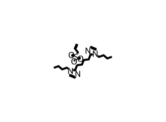 C=CCS(=O)(=O)OC(CCCc1nccn1CCCC)c1nccn1CCCC